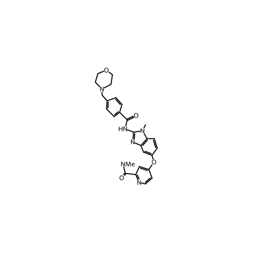 CNC(=O)c1cc(Oc2ccc3c(c2)nc(NC(=O)c2ccc(CN4CCOCC4)cc2)n3C)ccn1